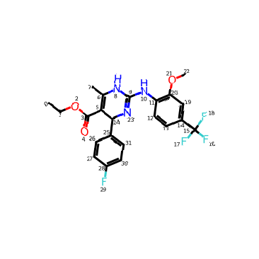 CCOC(=O)C1=C(C)NC(Nc2ccc(C(F)(F)F)cc2OC)=NC1c1ccc(F)cc1